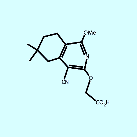 COc1nc(OCC(=O)O)c(C#N)c2c1CCC(C)(C)C2